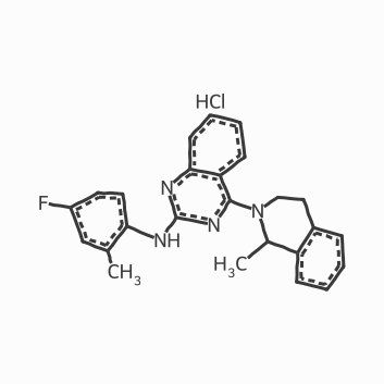 Cc1cc(F)ccc1Nc1nc(N2CCc3ccccc3C2C)c2ccccc2n1.Cl